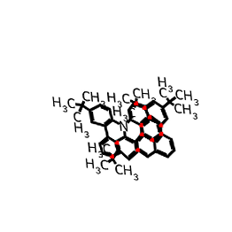 CC(C)(C)c1cc(-c2cccc3cccc(-c4ccccc4N(c4ccc(C(C)(C)C)cc4-c4ccccc4)c4cc(C(C)(C)C)ccc4-c4ccccc4)c23)cc(C(C)(C)C)c1